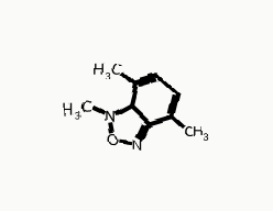 CC1=CC=C(C)C2C1=NON2C